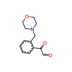 O=CC(=O)c1ccccc1CN1CCOCC1